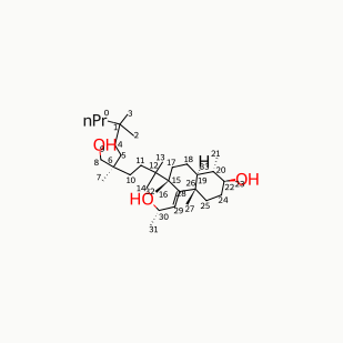 CCCC(C)(C)CC[C@](C)(CO)CCC(C)(C)[C@]1(C)CC[C@H]2[C@H](C)[C@@H](O)CC[C@]2(C)/C1=C/[C@H](C)O